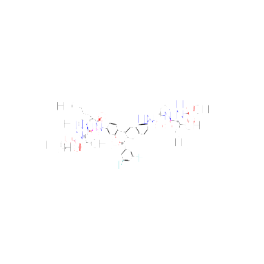 CCCC[C@@H](C(=O)Nc1ccc2c(c1)O[C@@H](c1cc(F)cc(F)c1)C1Cc3ccc(NC(=O)[C@@H]4CCCN4C(=O)[C@@H](NC(=O)OC)C(C)C)cc3C=C21)C(C)C(=O)[C@@H](NC(=O)OC)C(C)C